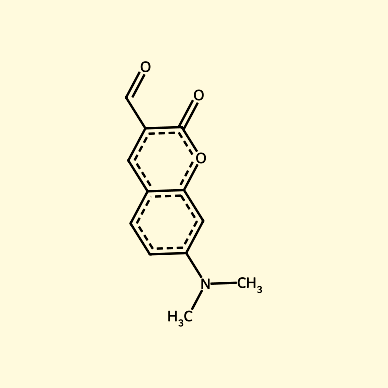 CN(C)c1ccc2cc(C=O)c(=O)oc2c1